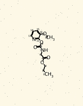 CCCOC(=O)CNC(=O)Oc1ncccc1OC